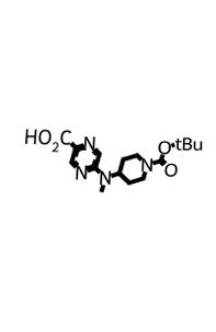 CN(c1cnc(C(=O)O)cn1)C1CCN(C(=O)OC(C)(C)C)CC1